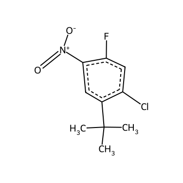 CC(C)(C)c1cc([N+](=O)[O-])c(F)cc1Cl